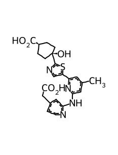 Cc1cc(Nc2cc(CC(=O)O)ccn2)nc(-c2cnc([C@]3(O)CC[C@@H](C(=O)O)CC3)s2)c1